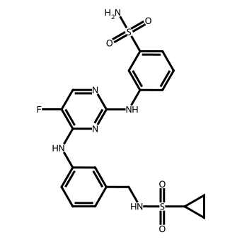 NS(=O)(=O)c1cccc(Nc2ncc(F)c(Nc3cccc(CNS(=O)(=O)C4CC4)c3)n2)c1